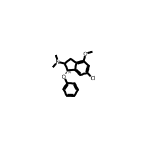 COc1cc(Cl)cc2c1CC(N(C)C)[C@H]2Oc1ccccc1